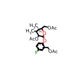 CC(=O)OCc1cc(F)ccc1O[C@@H]1OC(COC(C)=O)[C@@H](C)[C@H](C)C1OC(C)=O